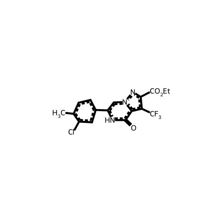 CCOC(=O)c1nn2cc(-c3ccc(C)c(Cl)c3)[nH]c(=O)c2c1C(F)(F)F